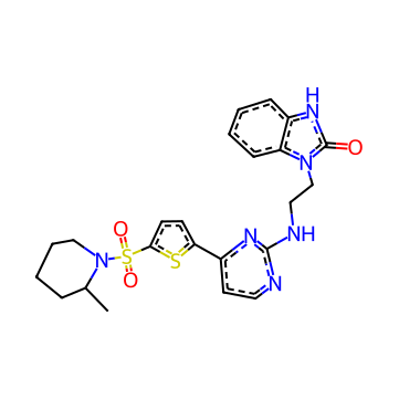 CC1CCCCN1S(=O)(=O)c1ccc(-c2ccnc(NCCn3c(=O)[nH]c4ccccc43)n2)s1